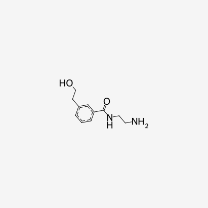 NCCNC(=O)c1cccc(CCO)c1